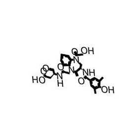 C=C1[C@@H](NC(=O)c2cc(C)c(O)c(C)c2)CN(C(=O)CO)c2ccccc2N1CC(=O)N[C@H](C=O)CC(=O)O